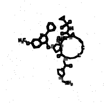 COc1ccc2c(O[C@@H]3C[C@H]4C(=O)N[C@]5(C(=O)NS(=O)(=O)C6CC6)CC5C=CCCCCC[C@H](CC(=O)N5CC[C@@H](CN)C5)C(=O)N4C3)cc(-c3ccccc3)nc2c1